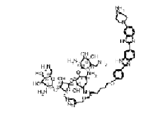 NC[C@H]1O[C@@H](O[C@H]2[C@@H](O)[C@H](O[C@@H]3[C@@H](O)[C@H](N)C[C@H](N)[C@H]3O[C@H]3O[C@H](CN)[C@@H](O)[C@H](O)[C@H]3N)O[C@@H]2Cn2cc(COCCCCCCOc3ccc(-c4nc5ccc(-c6nc7ccc(N8CCN(N)CC8)cc7[nH]6)cc5[nH]4)cc3)nn2)[C@@H](N)[C@H](O)[C@H]1O